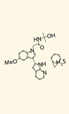 COc1ccc2c(c1)c(-c1cc3cccnc3[nH]1)cn2CC(=O)NC(C)(C)O.S.c1ccc2c(c1)C2